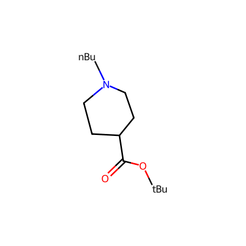 CCCCN1CCC(C(=O)OC(C)(C)C)CC1